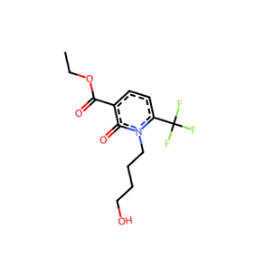 CCOC(=O)c1ccc(C(F)(F)F)n(CCCCO)c1=O